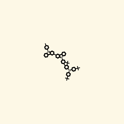 Cc1ccc(-n2c3ccccc3c3cc(-c4ccc5c(c4)c4ccccc4n5-c4ccc5c(c4)C(C)(C)c4cc(N(c6ccc(C(C)(C)C)cc6)c6ccc(C(C)(C)C)cc6)ccc4-5)ccc32)cc1